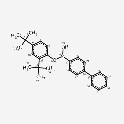 CC(C)(C)c1ccc(OP(O)c2ccc(-c3ccccc3)cc2)c(C(C)(C)C)c1